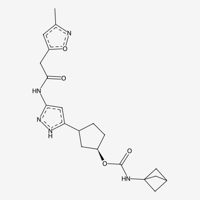 Cc1cc(CC(=O)Nc2cc(C3CC[C@@H](OC(=O)NC45CC(C4)C5)C3)[nH]n2)on1